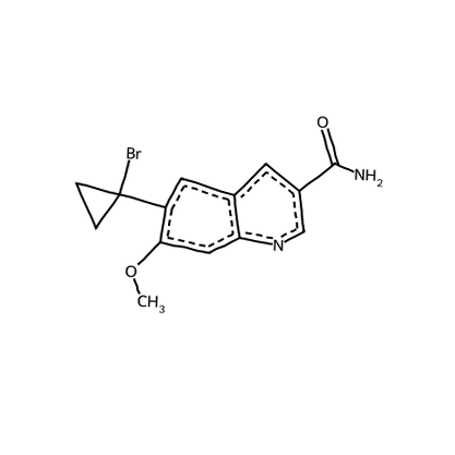 COc1cc2ncc(C(N)=O)cc2cc1C1(Br)CC1